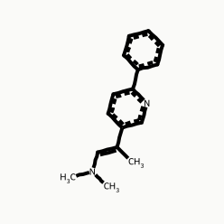 C/C(=C\N(C)C)c1ccc(-c2ccccc2)nc1